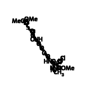 COc1ccc2c(c1)C(c1ccc(Cl)cc1)=N[C@@H](CC(=O)NCCOCCOCCOCCOCCNC(=O)COc1cccc([CH]CCc3ccc(OC)c(OC)c3)c1)c1nnc(C)n1-2